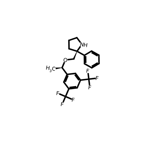 C[C@@H](OC[C@@]1(c2ccccc2)CCCN1)c1cc(C(F)(F)F)cc(C(F)(F)F)c1